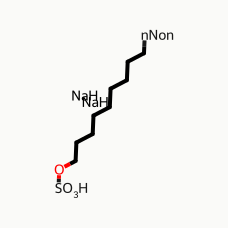 CCCCCCCCCCCCCCCCCCOS(=O)(=O)O.[NaH].[NaH]